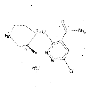 Cl.NC(=O)c1cc(Cl)nnc1O[C@H]1CCNC[C@@H]1F